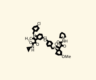 COc1ccc2c(c1)c(C(=O)C(=O)NN1CCCCC1)c(C)n2Cc1ccc(Cl)cc1.Cc1c(C(=O)C(=O)NC2CC2)c2cc(Cl)ccc2n1Cc1ccc(Cl)cc1